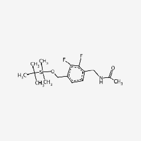 CC(=O)NCc1ccc(CO[Si](C)(C)C(C)(C)C)c(F)c1F